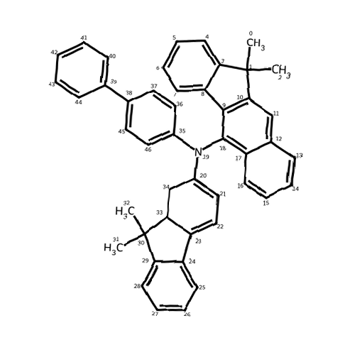 CC1(C)c2ccccc2-c2c1cc1ccccc1c2N(C1=CC=C2c3ccccc3C(C)(C)C2C1)c1ccc(-c2ccccc2)cc1